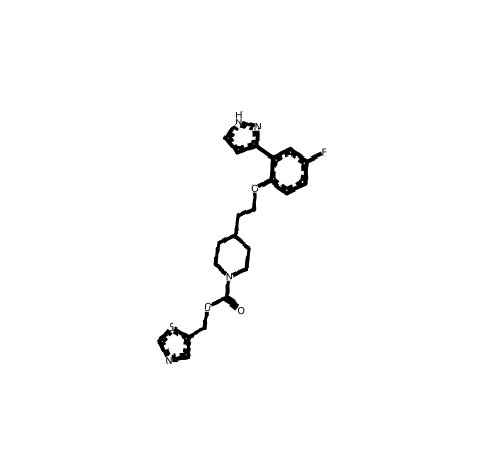 O=C(OCc1cncs1)N1CCC(CCOc2ccc(F)cc2-c2cc[nH]n2)CC1